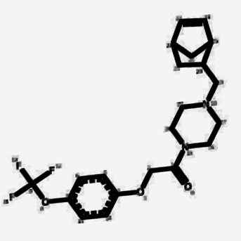 O=C(COc1ccc(OC(F)(F)F)cc1)N1CCN(CC2CC3C=CC2C3)CC1